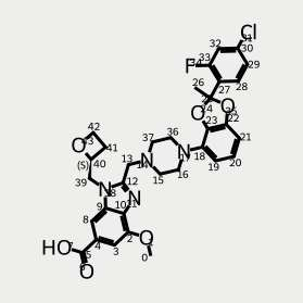 COc1cc(C(=O)O)cc2c1nc(CN1CCN(c3cccc4c3OC(C)(c3ccc(Cl)cc3F)O4)CC1)n2C[C@@H]1CCO1